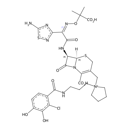 CC(C)(O/N=C(\C(=O)N[C@@H]1C(=O)N2C(C(=O)O)=C(C[N+]3(CCCNC(=O)c4ccc(O)c(O)c4Cl)CCCC3)CS[C@H]12)c1nsc(N)n1)C(=O)O